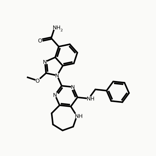 COc1nc2c(C(N)=O)cccc2n1-c1nc2c(c(NCc3ccccc3)n1)NCCCC2